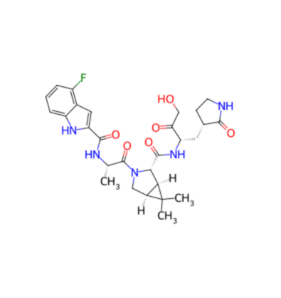 C[C@H](NC(=O)c1cc2c(F)cccc2[nH]1)C(=O)N1C[C@H]2[C@@H]([C@H]1C(=O)N[C@@H](C[C@@H]1CCNC1=O)C(=O)CO)C2(C)C